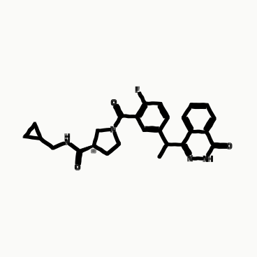 CC(c1ccc(F)c(C(=O)N2CC[C@@H](C(=O)NCC3CC3)C2)c1)c1n[nH]c(=O)c2ccccc12